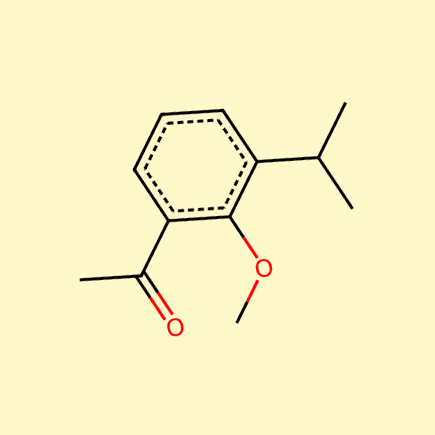 COc1c(C(C)=O)cccc1C(C)C